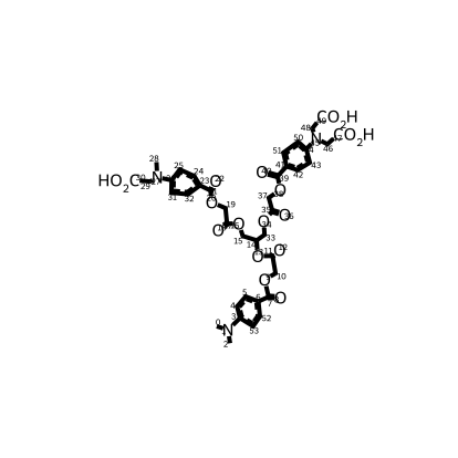 CN(C)c1ccc(C(=O)OCC(=O)OC(COC(=O)COC(=O)c2ccc(N(C)CC(=O)O)cc2)COC(=O)COC(=O)c2ccc(N(CC(=O)O)CC(=O)O)cc2)cc1